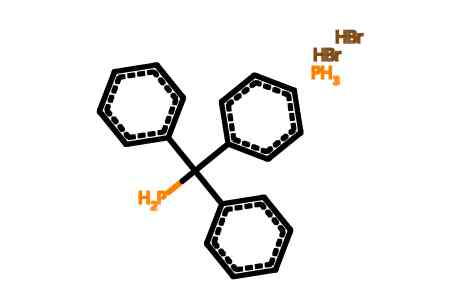 Br.Br.P.PC(c1ccccc1)(c1ccccc1)c1ccccc1